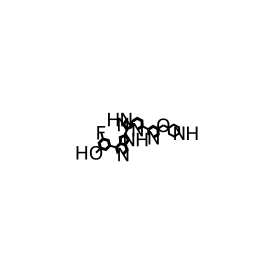 Oc1cc(F)cc(-c2cncc3[nH]c(-c4n[nH]c5ccc(-c6cncc(OC7CCNCC7)c6)nc45)cc23)c1